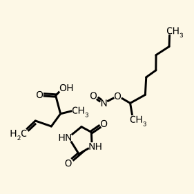 C=CCC(C)C(=O)O.CCCCCCC(C)ON=O.O=C1CNC(=O)N1